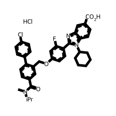 CC(C)N(C)C(=O)c1ccc(-c2ccc(Cl)cc2)c(COc2ccc(-c3nc4cc(C(=O)O)ccc4n3C3CCCCC3)c(F)c2)c1.Cl